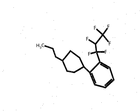 CCCC1CCC(c2ccccc2C(F)(F)C(F)C(F)(F)F)CC1